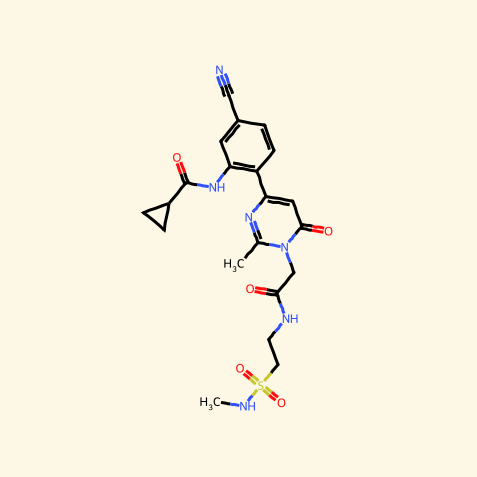 CNS(=O)(=O)CCNC(=O)Cn1c(C)nc(-c2ccc(C#N)cc2NC(=O)C2CC2)cc1=O